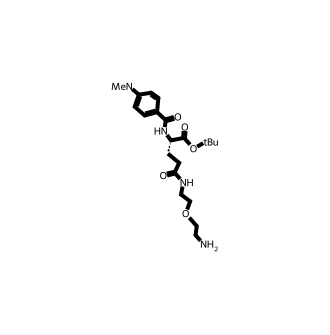 CNc1ccc(C(=O)N[C@@H](CCC(=O)NCCOCCN)C(=O)OC(C)(C)C)cc1